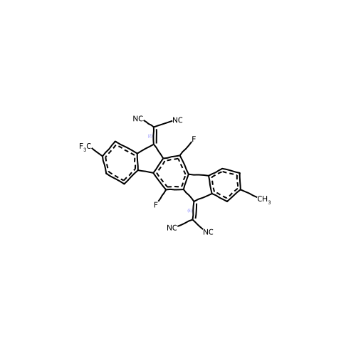 [C-]#[N+]/C(C#N)=C1/c2cc(C(F)(F)F)ccc2-c2c(F)c3c(c(F)c21)-c1ccc(C)cc1/C3=C(/C#N)[N+]#[C-]